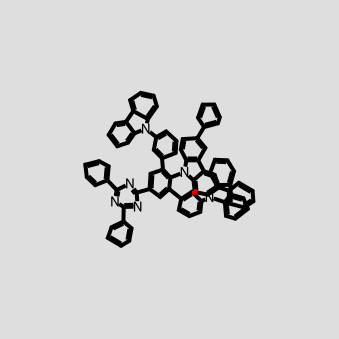 c1ccc(-c2ccc3c(c2)c2cc(-c4ccccc4)ccc2n3-c2c(-c3cccc(-n4c5ccccc5c5ccccc54)c3)cc(-c3nc(-c4ccccc4)nc(-c4ccccc4)n3)cc2-c2cccc(-n3c4ccccc4c4ccccc43)c2)cc1